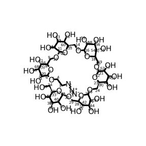 [N-]=[N+]=NCCOC1OC(CO[C@@H]2O[C@H](COC3OC(CO[C@@H]4O[C@H](COC5OC(CO[C@@H]6O[C@H](CO)C(O)[C@H](O)C6O)[C@@H](O)C(O)[C@H]5O)C(O)[C@H](O)C4O)[C@@H](O)C(O)[C@H]3O)C(O)[C@H](O)C2O)[C@@H](O)C(O)[C@H]1O